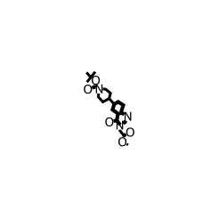 COC(=O)Cn1cnc2ccc(C3CCN(C(=O)OC(C)(C)C)CC3)cc2c1=O